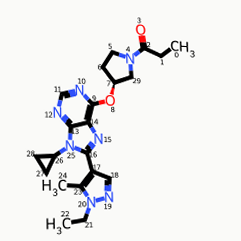 CCC(=O)N1CC[C@H](Oc2ncnc3c2nc(-c2cnn(CC)c2C)n3C2CC2)C1